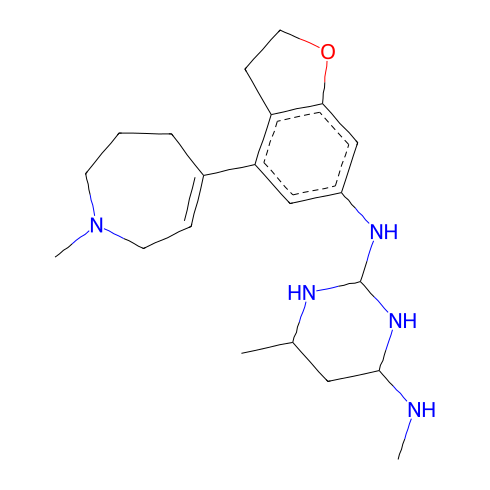 CNC1CC(C)NC(Nc2cc3c(c(C4=CCN(C)CCC4)c2)CCO3)N1